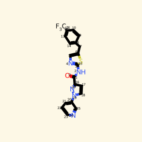 O=C(Nc1ncc(Cc2ccc(C(F)(F)F)cc2)s1)c1ccn(-c2cccnc2)n1